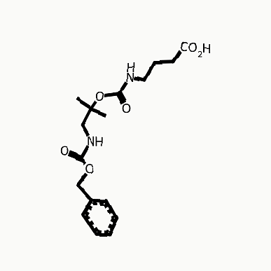 CC(C)(CNC(=O)OCc1ccccc1)OC(=O)NCCCC(=O)O